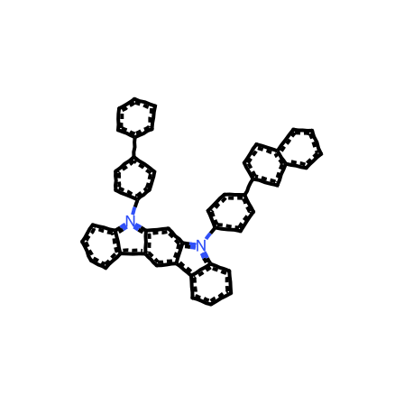 c1ccc(-c2ccc(-n3c4ccccc4c4cc5c6ccccc6n(-c6ccc(-c7ccc8ccccc8c7)cc6)c5cc43)cc2)cc1